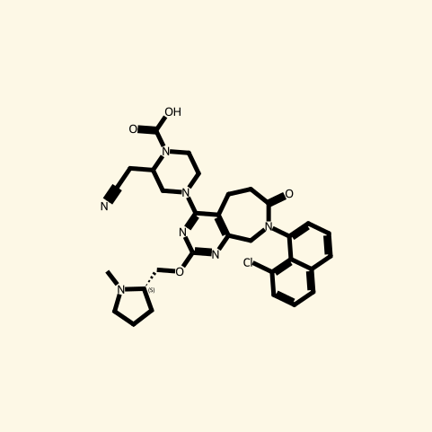 CN1CCC[C@H]1COc1nc2c(c(N3CCN(C(=O)O)C(CC#N)C3)n1)CCC(=O)N(c1cccc3cccc(Cl)c13)C2